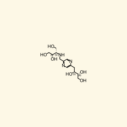 OC[C@@H](O)[C@H](CO)NCc1cnc(C[C@H](O)[C@H](O)CO)cn1